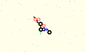 CCOC(=O)Cc1ccc(OC)c(-c2ccc(F)c3c2CN(Cc2ccccc2)C3)c1